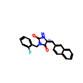 O=C1N/C(=C/c2ccc3ccccc3c2)C(=O)N1Cc1ccccc1F